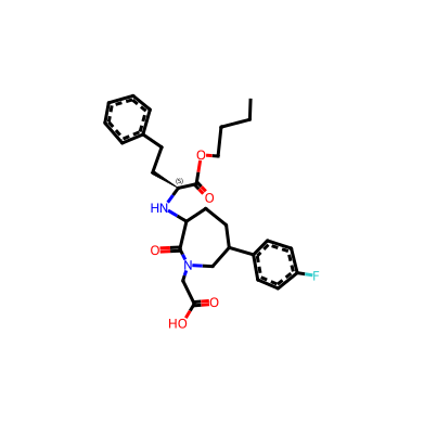 CCCCOC(=O)[C@H](CCc1ccccc1)NC1CCC(c2ccc(F)cc2)CN(CC(=O)O)C1=O